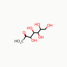 O=C(O)C(=O)C(O)C(O)C(O)C(O)CO